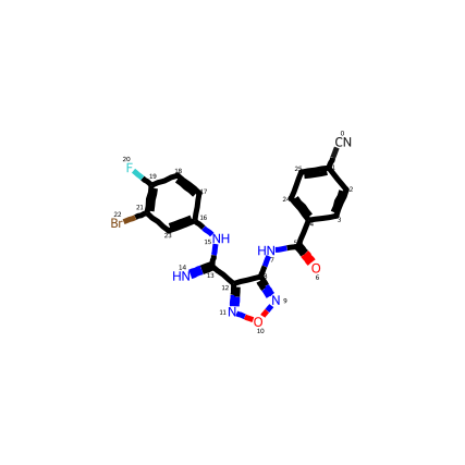 N#Cc1ccc(C(=O)Nc2nonc2C(=N)Nc2ccc(F)c(Br)c2)cc1